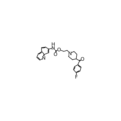 O=C(Nc1ccc2cccnc2c1)OCCN1CCC(C(=O)c2ccc(F)cc2)CC1